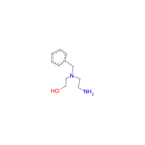 NCCN(CCO)Cc1ccccc1